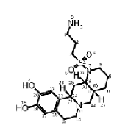 NCCCS(=O)(=O)N1CCC[C@@H]2CN3CCc4cc(O)c(O)cc4[C@@H]3C[C@@H]21